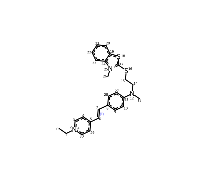 CC[n+]1ccc(/C=C/c2ccc(N(C)CCSc3sc4ccccc4[n+]3C)cc2)cc1